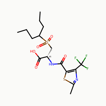 CCCC(CCC)S(=O)(=O)C[C@H](NC(=O)c1sc(C)nc1C(F)(F)F)C(=O)O